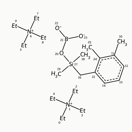 CC[N+](CC)(CC)CC.CC[N+](CC)(CC)CC.Cc1cccc(C[Si](C)(C)OB([O-])[O-])c1C